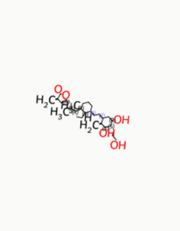 C=C1C[C@@H](C[C@@H](C)[C@H]2CC[C@H]3/C(=C/C=C4/C[C@@H](O)[C@H](CCCO)[C@H](O)C4=C)CCC[C@]23C)OC1=O